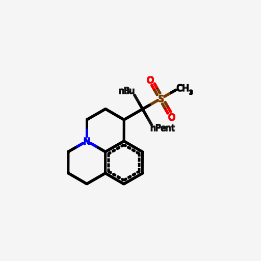 CCCCCC(CCCC)(C1CCN2CCCc3cccc1c32)S(C)(=O)=O